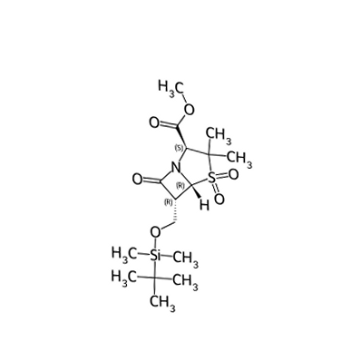 COC(=O)[C@@H]1N2C(=O)[C@@H](CO[Si](C)(C)C(C)(C)C)[C@H]2S(=O)(=O)C1(C)C